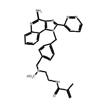 C=C(C)C(=O)NCCN(Cc1ccc(Cn2c(-c3cccnn3)nc3c(N)nc4ccccc4c32)cc1)C(=O)O